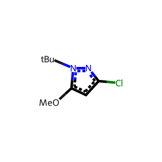 COc1cc(Cl)nn1C(C)(C)C